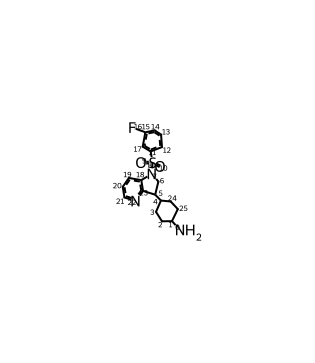 NC1CCC(C2CN(S(=O)(=O)c3cccc(F)c3)c3cccnc32)CC1